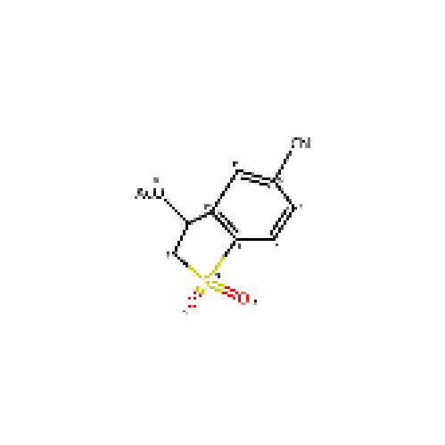 CC(=O)OC1CS(=O)(=O)c2ccc(C#N)cc21